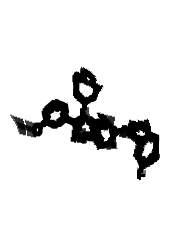 Oc1cccc(-c2nc3cnc(-n4cnc5ccc(F)cc54)nc3n2C2CCOCC2)c1